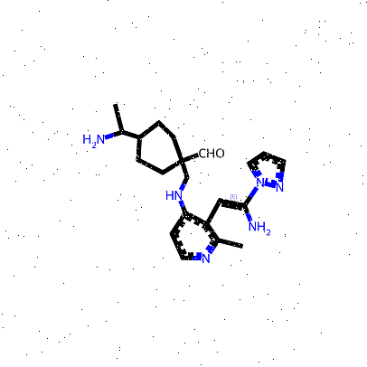 Cc1nccc(NCC2(C=O)CCC(C(C)N)CC2)c1/C=C(\N)n1cccn1